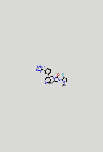 CCCCc1cn(-c2c(F)ccn2C(C)C)c(=O)n1CC1(c2cccc(-c3nnn[nH]3)c2)C=CN=CC1